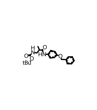 CC(CNC(=O)OC(C)(C)C)C(=O)Nc1ccc(OCc2ccccc2)cc1